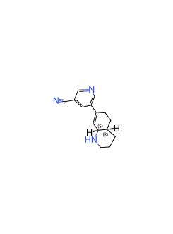 N#Cc1cncc(C2=C[C@H]3NCCC[C@H]3CC2)c1